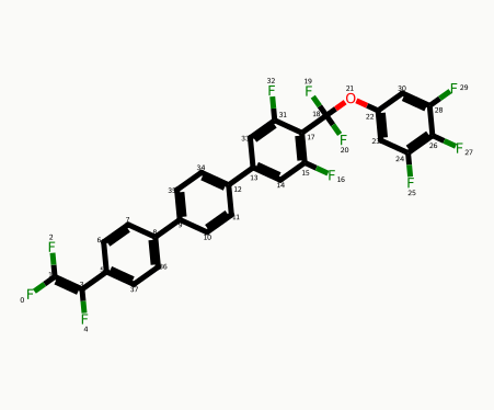 FC(F)=C(F)c1ccc(-c2ccc(-c3cc(F)c(C(F)(F)Oc4cc(F)c(F)c(F)c4)c(F)c3)cc2)cc1